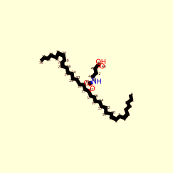 CCCCC/C=C\C/C=C\CCCCCCCCC(CCCCCCCC/C=C\C/C=C\CCCCC)OC(=O)NCCCC(=O)O